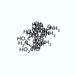 CC(C)C[C@H](NC(=O)[C@@H](N)CCC(N)=O)C(=O)N[C@@H](CO)C(=O)N[C@H](C(=O)N[C@@H](CO)C(=O)N[C@@H](CCC(=O)O)C(=O)N[C@@H](CCC(=O)O)C(=O)N[C@@H](CC(N)=O)C(=O)N[C@@H](CO)C(=O)N[C@@H](CCCCN)C(=O)O)[C@@H](C)O